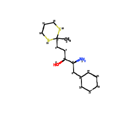 CC1(CC[C@H](O)[C@@H](N)CC2CCCCC2)SCCCS1